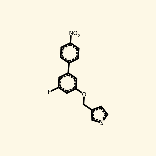 O=[N+]([O-])c1ccc(-c2cc(F)cc(OCc3ccsc3)c2)cc1